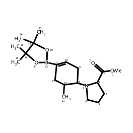 COC(=O)C1CCCN1C1CC=C(B2OC(C)(C)C(C)(C)O2)CC1C